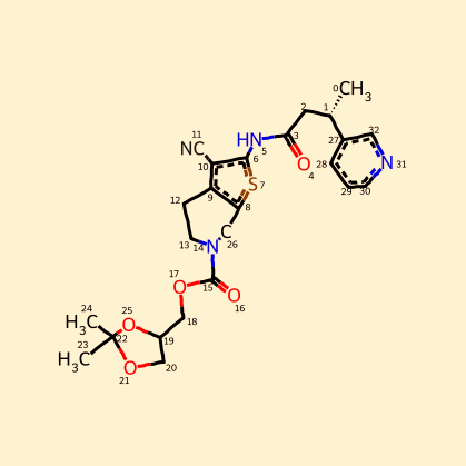 C[C@@H](CC(=O)Nc1sc2c(c1C#N)CCN(C(=O)OCC1COC(C)(C)O1)C2)c1cccnc1